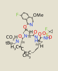 COc1cnc(O[C@@H]2C[C@H]3C(=O)N[C@]4(C(=O)NS(=O)(=O)C5(F)CC5)C[C@H]4C=CCC[C@@H](C)C[C@@H](C)[C@H](N(CC(C)(C)C)C(=O)O)C(=O)N3C2)c2cc(F)ccc12